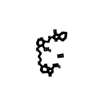 Cc1c(SCCCSc2ccc3ncc([N+](=O)[O-])n3n2)ccnc1CSc1nc2ccccc2[nH]1.Cl